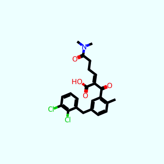 Cc1ccc(Cc2cccc(Cl)c2Cl)cc1C(=O)C(=CCCC(=O)N(C)C)C(=O)O